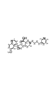 COc1ccc2nccc(C(O)CC[C@@H]3CCN(CCCCc4cccnc4)C[C@@H]3C(=O)O)c2c1